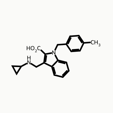 Cc1ccc(Cn2c(C(=O)O)c(CNC3CC3)c3ccccc32)cc1